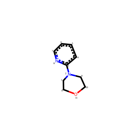 [CH]1CN(c2ccccn2)CCO1